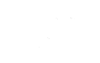 COc1ccc(-c2nc(C(F)(F)F)c(C(=O)O)s2)cn1